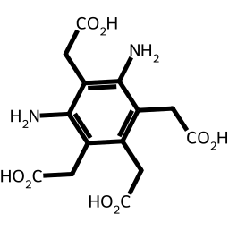 Nc1c(CC(=O)O)c(N)c(CC(=O)O)c(CC(=O)O)c1CC(=O)O